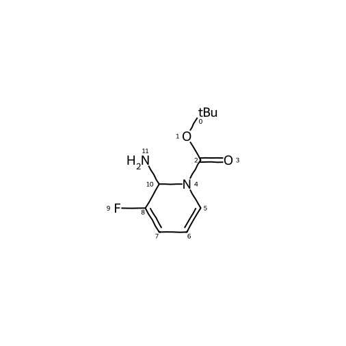 CC(C)(C)OC(=O)N1C=CC=C(F)C1N